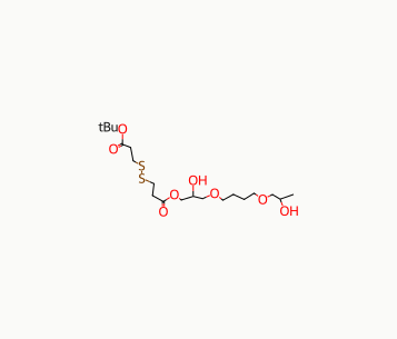 CC(O)COCCCCOCC(O)COC(=O)CCSSCCC(=O)OC(C)(C)C